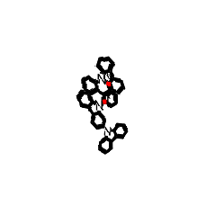 N#Cc1cccc(-n2c3ccccc3c3ccc(-n4c5ccccc5c5ccccc54)cc32)c1-c1ccccc1-n1c2ccccc2c2cccc(C#N)c21